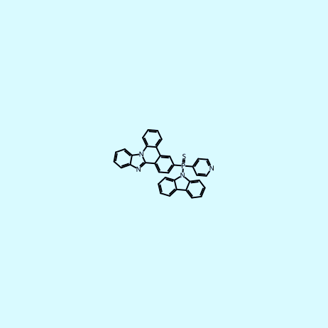 S=P(c1ccncc1)(c1ccc2c(c1)c1ccccc1n1c3ccccc3nc21)n1c2ccccc2c2ccccc21